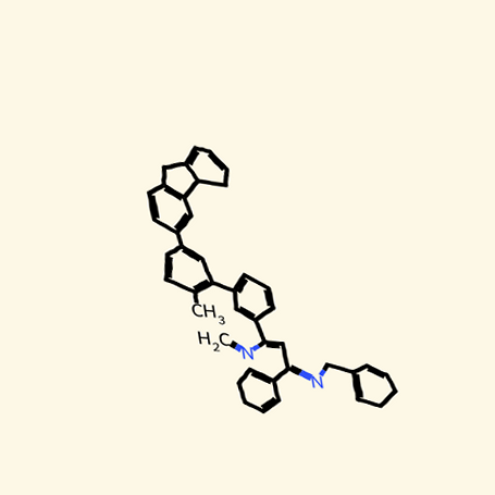 C=N/C(=C\C(=N/CC1=CCCC=C1)C1=CCCC=C1)c1cccc(-c2cc(-c3ccc4c(c3)C3CC=CC=C3C4)ccc2C)c1